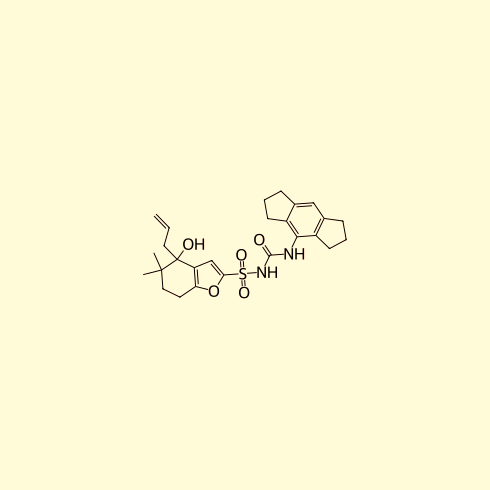 C=CCC1(O)c2cc(S(=O)(=O)NC(=O)Nc3c4c(cc5c3CCC5)CCC4)oc2CCC1(C)C